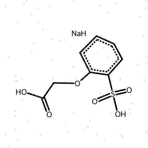 O=C(O)COc1ccccc1S(=O)(=O)O.[NaH]